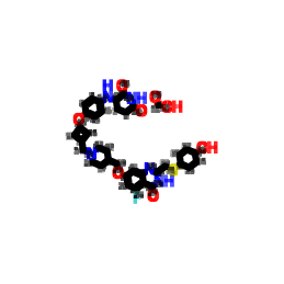 O=C1CCC(Nc2ccc(OC3CC(CN4CCC(COc5cc(F)c6c(=O)[nH]c(CSC7CCC(O)CC7)nc6c5)CC4)C3)cc2)C(=O)N1.O=CO